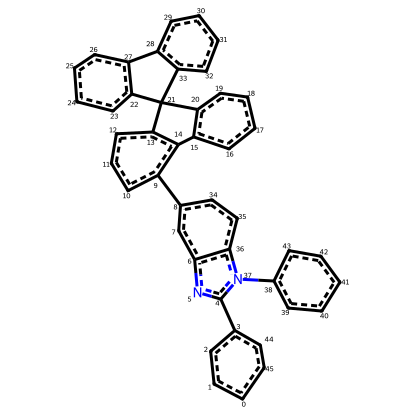 c1ccc(-c2nc3cc(-c4cccc5c4-c4ccccc4C54c5ccccc5-c5ccccc54)ccc3n2-c2ccccc2)cc1